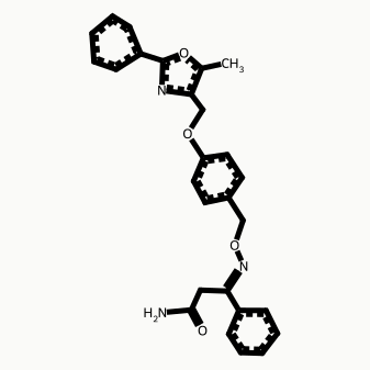 Cc1oc(-c2ccccc2)nc1COc1ccc(CO/N=C(\CC(N)=O)c2ccccc2)cc1